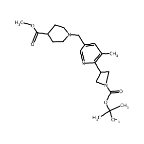 COC(=O)C1CCN(Cc2cnc(C3CN(C(=O)OC(C)(C)C)C3)c(C)c2)CC1